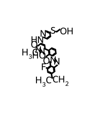 C=C(C)c1cc(F)c2c(=O)n(-c3cccc(-c4cc(Nc5ccc(SCCO)cn5)c(=O)n(C)n4)c3CO)ncc2c1